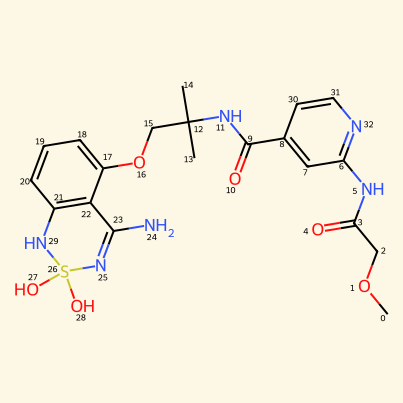 COCC(=O)Nc1cc(C(=O)NC(C)(C)COc2cccc3c2C(N)=NS(O)(O)N3)ccn1